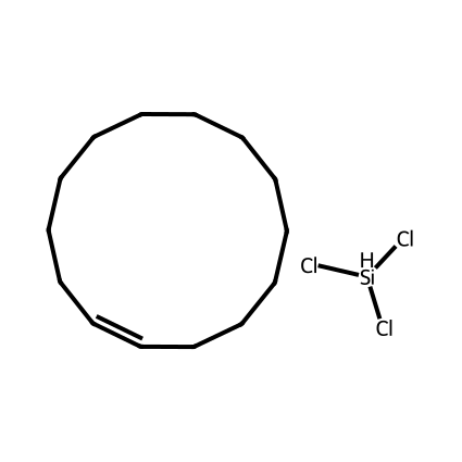 C1=CCCCCCCCCCCCC1.Cl[SiH](Cl)Cl